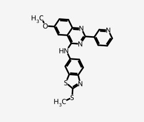 COc1ccc2nc(-c3cccnc3)nc(Nc3ccc4nc(SC)sc4c3)c2c1